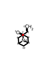 C=CC(=O)N1C2CCCC1C2